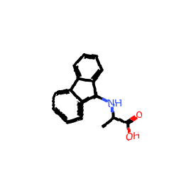 CC(NC1c2ccccc2-c2ccccc21)C(=O)O